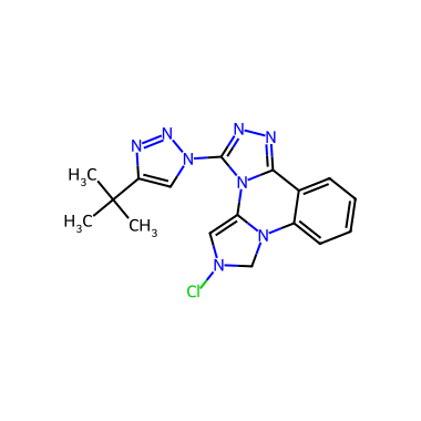 CC(C)(C)c1cn(-c2nnc3n2C2=CN(Cl)CN2c2ccccc2-3)nn1